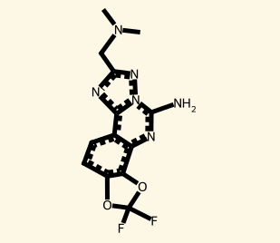 CN(C)Cc1nc2c3ccc4c(c3nc(N)n2n1)OC(F)(F)O4